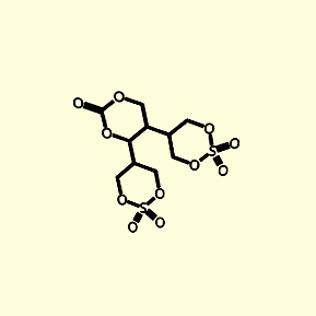 O=C1OCC(C2COS(=O)(=O)OC2)C(C2COS(=O)(=O)OC2)O1